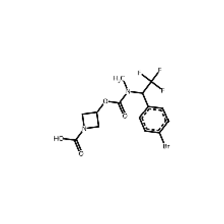 CN(C(=O)OC1CN(C(=O)O)C1)C(c1ccc(Br)cc1)C(F)(F)F